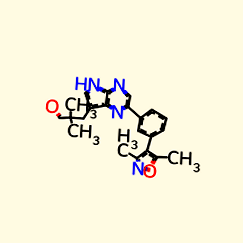 Cc1noc(C)c1-c1cccc(-c2cnc3[nH]cc(CC(C)(C)C=O)c3n2)c1